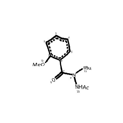 COc1ccccc1C(=O)N(NC(C)=O)C(C)(C)C